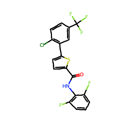 O=C(Nc1c(F)cccc1F)c1ccc(-c2cc(C(F)(F)F)ccc2Cl)s1